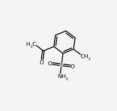 CC(=O)c1cccc(C)c1S(N)(=O)=O